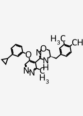 Cc1ccc(C[C@@H]2CON=C(c3c(Oc4cccc(C5CC5)c4)cnnc3C)N2)cc1C